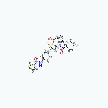 COC(=O)c1sc(-c2ccc(NC(=O)c3ccsc3)cc2)cc1N(C(=O)[C@H]1CC[C@H](C)CC1)C(C)C